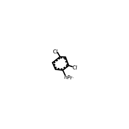 CC[CH]c1ccc(Cl)cc1Cl